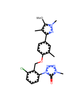 COc1c(C)c(-c2ccc(OCc3c(Cl)cccc3-n3nnn(C)c3=O)c(C)c2)nn1C